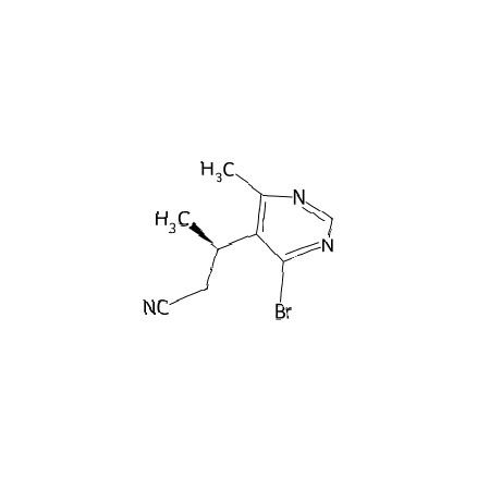 Cc1ncnc(Br)c1[C@H](C)CC#N